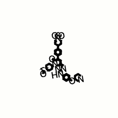 CN1CCCC(Oc2ccc(Nc3ncc4cc(-c5ccc(C6CCN(S(C)(=O)=O)CC6)cc5)c(=O)n(C5CCC([S+](C)[O-])CC5)c4n3)cc2)C1